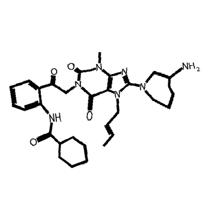 CC=CCn1c(N2CCCC(N)C2)nc2c1c(=O)n(CC(=O)c1ccccc1NC(=O)C1CCCCC1)c(=O)n2C